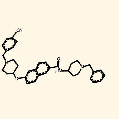 N#Cc1ccc(CN2CCC(Oc3ccc4cc(C(=O)NC5CCN(Cc6ccccc6)CC5)ccc4c3)CC2)cc1